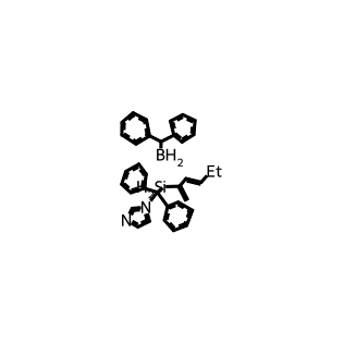 BC(c1ccccc1)c1ccccc1.C=C(C=CCC)[SiH2]C(c1ccccc1)(c1ccccc1)n1ccnc1